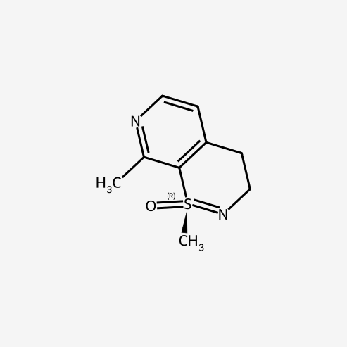 Cc1nccc2c1[S@@](C)(=O)=NCC2